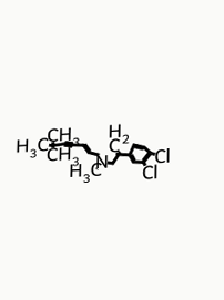 C=C(CN(C)CC=CC#CC(C)(C)C)c1ccc(Cl)c(Cl)c1